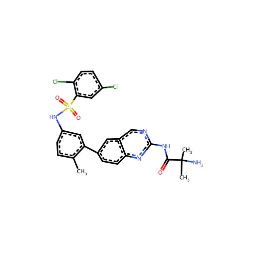 Cc1ccc(NS(=O)(=O)c2cc(Cl)ccc2Cl)cc1-c1ccc2nc(NC(=O)C(C)(C)N)ncc2c1